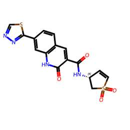 O=C(N[C@@H]1C=CS(=O)(=O)C1)c1cc2ccc(-c3nncs3)cc2[nH]c1=O